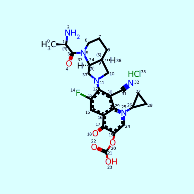 C[C@@H](N)C(=O)N1CCC[C@H]2CN(c3c(F)cc4c(=O)c(OC(=O)O)cn(C5CC5)c4c3C#N)C[C@H]21.Cl